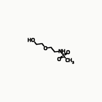 CS(=O)(=O)NCCOCCO